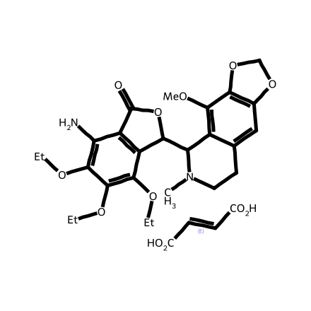 CCOc1c(N)c2c(c(OCC)c1OCC)C(C1c3c(cc4c(c3OC)OCO4)CCN1C)OC2=O.O=C(O)/C=C/C(=O)O